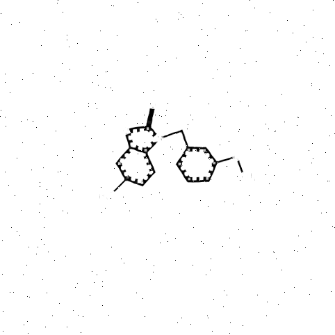 COc1cccc(Cn2c(=O)oc3cc(C)ccc32)c1